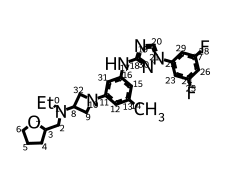 CCN(CC1CCCO1)C1CN(c2cc(C)cc(Nc3ncn(-c4cc(F)cc(F)c4)n3)c2)C1